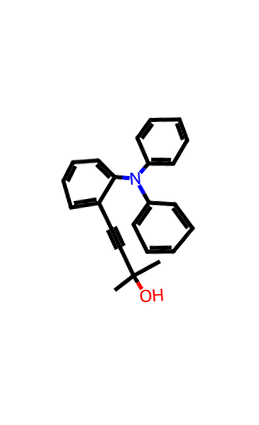 CC(C)(O)C#Cc1ccccc1N(c1ccccc1)c1ccccc1